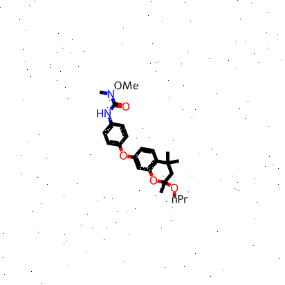 CCCOC1(C)CC(C)(C)c2ccc(Oc3ccc(NC(=O)N(C)OC)cc3)cc2O1